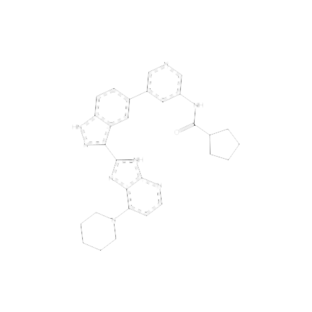 O=C(Nc1cncc(-c2ccc3[nH]nc(-c4nc5c(N6CCCCC6)ccnc5[nH]4)c3c2)c1)C1CCCC1